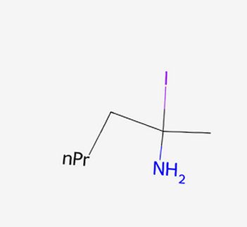 CCCCC(C)(N)I